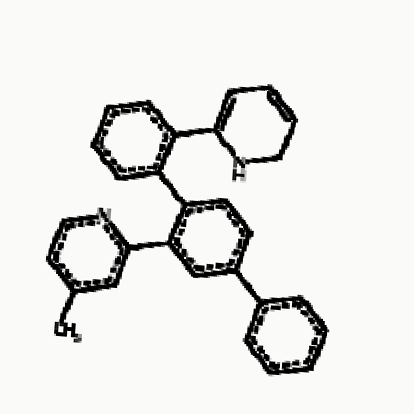 Cc1ccnc(-c2cc(-c3ccccc3)ccc2-c2ccccc2C2=CC=CCN2)c1